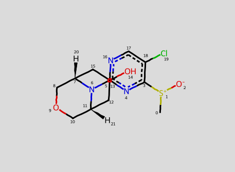 C[S+]([O-])c1nc(N2[C@@H]3COC[C@H]2CC(O)C3)ncc1Cl